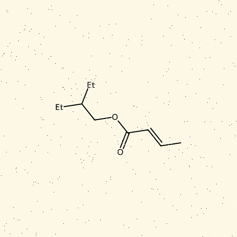 C/C=C/C(=O)OCC(CC)CC